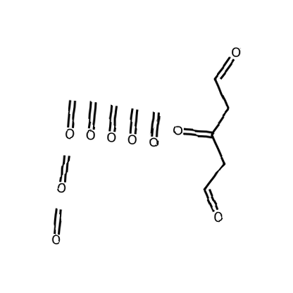 C=O.C=O.C=O.C=O.C=O.C=O.C=O.O=CCC(=O)CC=O